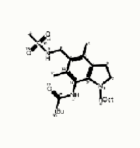 CCCCCCCCN1CCc2c(C)c(CNS(C)(=O)=O)c(C)c(NC(=O)C(C)(C)C)c21